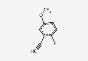 C#Cc1cc(OC(F)(F)F)ccc1F